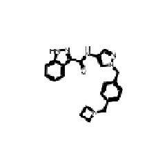 O=C(Nc1cnn(Cc2ccc(CN3CCC3)cc2)c1)c1n[nH]c2ccccc12